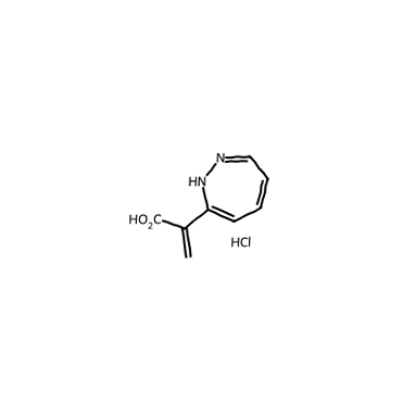 C=C(C(=O)O)C1=CC=CC=NN1.Cl